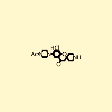 CC(=O)N1CCN(c2ccc3c(c2)C(=O)CC2(CCNCC2)O3)CC1.Cl